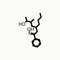 CCCCC(CC(=NO)c1ccccc1)CC(C)C(C)O